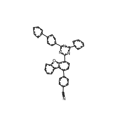 N#Cc1ccc(-c2ccc(-c3nc(-c4ccccc4)nc(-c4ccc(-c5ccccc5)cc4)n3)c3oc4ccccc4c23)cc1